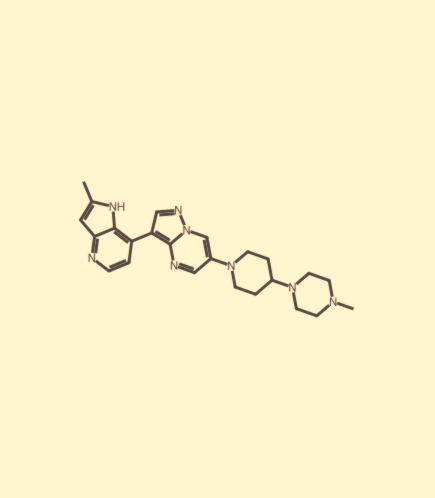 Cc1cc2nccc(-c3cnn4cc(N5CCC(N6CCN(C)CC6)CC5)cnc34)c2[nH]1